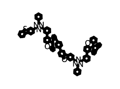 c1ccc(-c2nc(-c3cccc(-c4ccc5c(c4)C4(c6ccccc6O5)c5ccccc5-c5ccccc54)c3)nc(-c3ccc4c(c3)oc3ccc(-c5ccc6c(c5)[C@@]5(c7ccccc7Oc7ccc(-c8cccc(-c9nc(-c%10ccccc%10)nc(-c%10ccc%11c(c%10)sc%10ccccc%10%11)n9)c8)cc75)c5ccccc5-6)cc34)n2)cc1